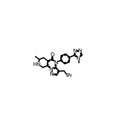 CC(C)Cc1cnn2c3c(c(=O)n(-c4ccc(-c5nncn5C)cc4)c12)CC(C)NC3